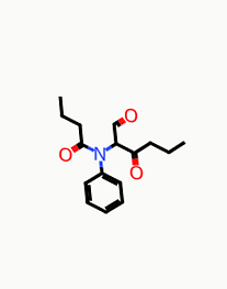 CCCC(=O)C(C=O)N(C(=O)CCC)c1ccccc1